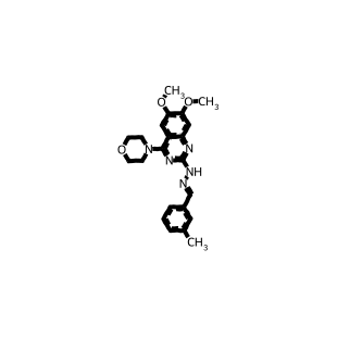 COc1cc2nc(N/N=C/c3cccc(C)c3)nc(N3CCOCC3)c2cc1OC